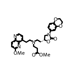 COC(=O)CCN(CCc1ccnc2ccc(OC)nc12)CC[C@@H]1CN(c2ccc3c(c2)OCCO3)C(=O)O1